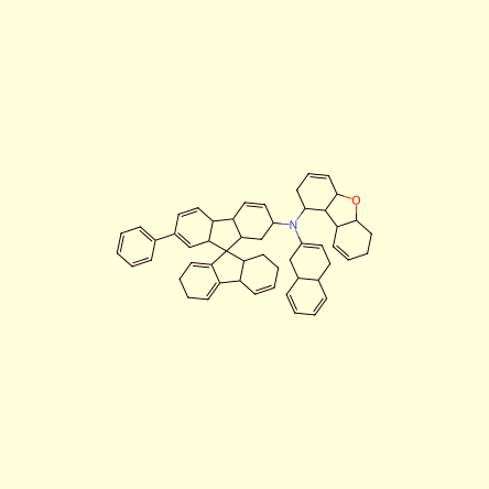 C1=CC2CC=C(N(C3C=CC4C5C=CC(c6ccccc6)=CC5C5(C6=CCCC=C6C6C=CCCC65)C4C3)C3CC=CC4OC5CCC=CC5C43)CC2C=C1